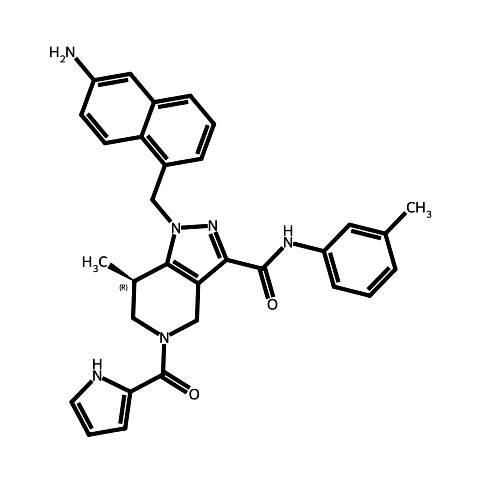 Cc1cccc(NC(=O)c2nn(Cc3cccc4cc(N)ccc34)c3c2CN(C(=O)c2ccc[nH]2)C[C@H]3C)c1